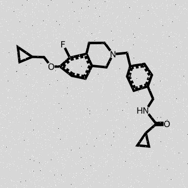 O=C(NCc1ccc(CN2CCc3c(ccc(OCC4CC4)c3F)C2)cc1)C1CC1